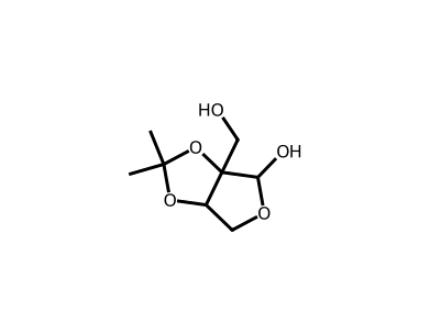 CC1(C)OC2COC(O)C2(CO)O1